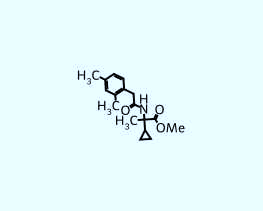 COC(=O)C(C)(NC(=O)Cc1ccc(C)cc1C)C1CC1